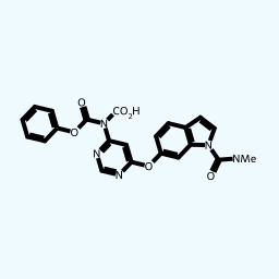 CNC(=O)n1ccc2ccc(Oc3cc(N(C(=O)O)C(=O)Oc4ccccc4)ncn3)cc21